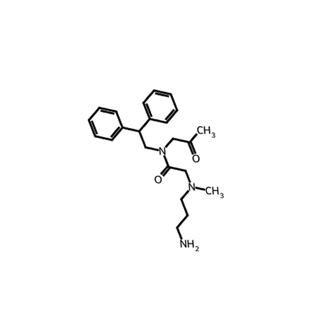 CC(=O)CN(CC(c1ccccc1)c1ccccc1)C(=O)CN(C)CCCN